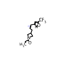 C=CC(=O)N1CC(C/C=C\c2cc(C(F)(F)F)on2)C1